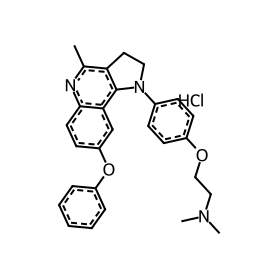 Cc1nc2ccc(Oc3ccccc3)cc2c2c1CCN2c1ccc(OCCN(C)C)cc1.Cl